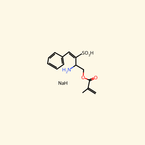 C=C(C)C(=O)OCC(N)C(=Cc1ccccc1)S(=O)(=O)O.[NaH]